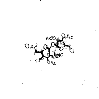 CC(=O)OCC1OC(O[C@]2(CCl)OC(CCl)[C@H](OC(C)=O)[C@H]2OC(C)=O)C(OC(C)=O)C(OC(C)=O)C1Cl